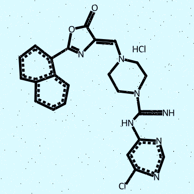 Cl.N=C(Nc1cc(Cl)ncn1)N1CCN(C=C2N=C(c3cccc4ccccc34)OC2=O)CC1